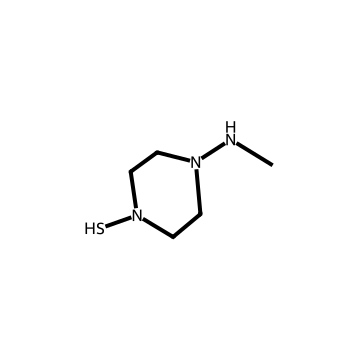 CNN1CCN(S)CC1